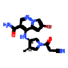 C[C@H]1CN(C(=O)CC#N)C[C@H]1Nc1c(C(N)=O)cnn2cc(Br)cc12